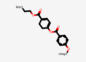 CCCCCCCOc1ccc(C(=O)OC2=CC=C(C(=O)OCCOC)CC2)cc1